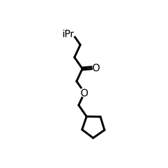 CC(C)CCC(=O)COCC1CCCC1